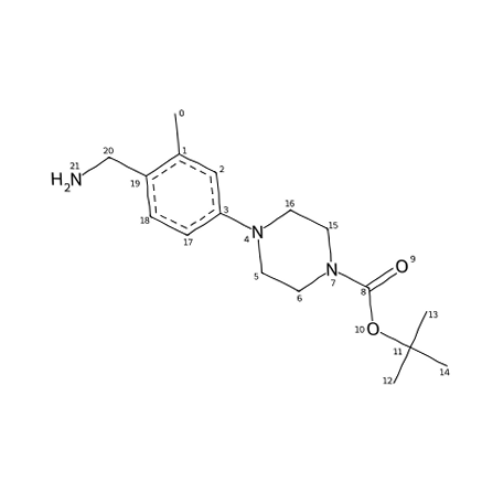 Cc1cc(N2CCN(C(=O)OC(C)(C)C)CC2)ccc1CN